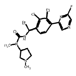 CCC(NC(=O)N(C)C1CCN(C)C1)c1ccc(-c2cncc(F)n2)c(Cl)c1Cl